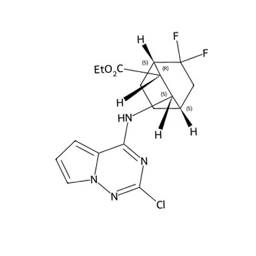 CCOC(=O)[C@H]1[C@@H](Nc2nc(Cl)nn3cccc23)[C@H]2CC[C@@H]1C(F)(F)C2